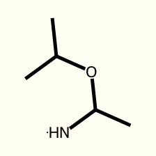 CC(C)OC(C)[NH]